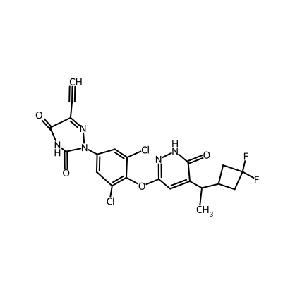 C#Cc1nn(-c2cc(Cl)c(Oc3cc(C(C)C4CC(F)(F)C4)c(=O)[nH]n3)c(Cl)c2)c(=O)[nH]c1=O